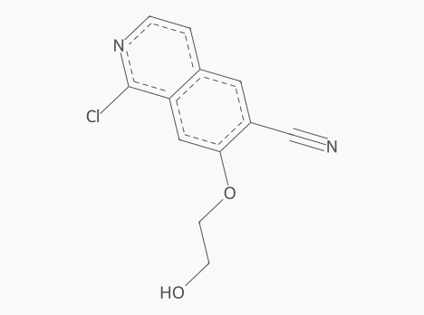 N#Cc1cc2ccnc(Cl)c2cc1OCCO